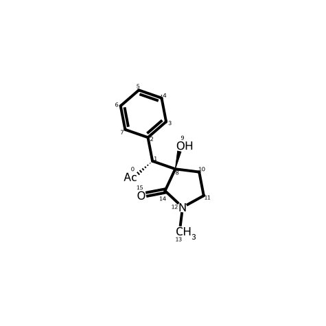 CC(=O)[C@H](c1c[c]ccc1)[C@]1(O)CCN(C)C1=O